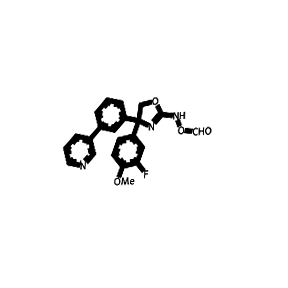 COc1ccc(C2(c3cccc(-c4cccnc4)c3)COC(NOC=O)=N2)cc1F